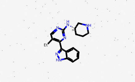 CCc1cnc(N[C@H]2CCCNC2)nc1-c1n[nH]c2ccccc12